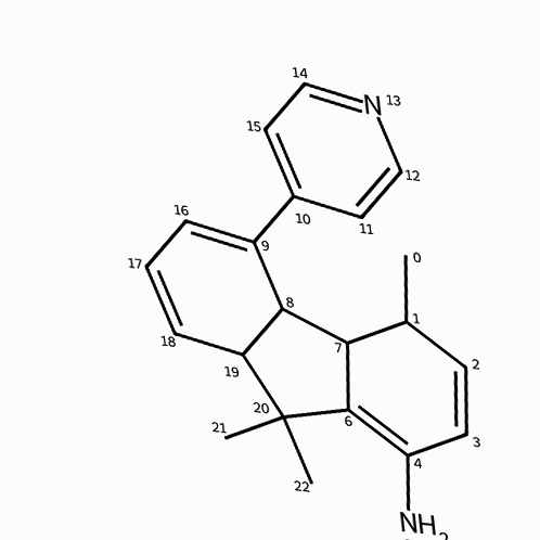 CC1C=CC(N)=C2C1C1C(c3ccncc3)=CC=CC1C2(C)C